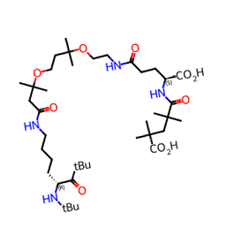 CC(C)(C)N[C@H](CCCCNC(=O)CC(C)(C)OCCC(C)(C)OCCNC(=O)CC[C@H](NC(=O)C(C)(C)CC(C)(C)C(=O)O)C(=O)O)C(=O)C(C)(C)C